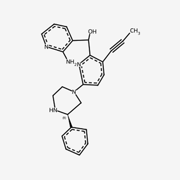 CC#Cc1ccc(N2CCN[C@H](c3ccccc3)C2)nc1C(O)c1cccnc1N